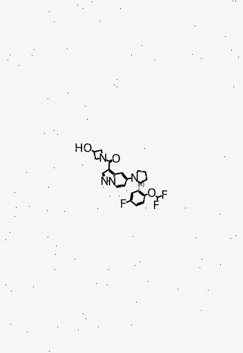 O=C(c1cnn2ccc(N3CCC[C@@H]3c3cc(F)ccc3OC(F)F)cc12)N1CC(O)C1